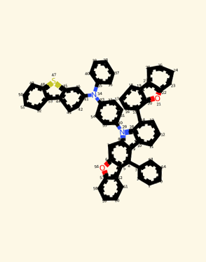 c1ccc(-c2c3c(cc4c2c2cccc(-c5cccc6c5oc5ccccc56)c2n4-c2ccc(N(c4ccccc4)c4ccc5c(c4)sc4ccccc45)cc2)oc2ccccc23)cc1